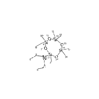 CCN(CC)[Si]1(C)O[Si](C)(C)O[Si](C)(C)O[Si](C)(C)O1